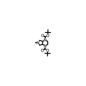 CN1CC2C(C1)N(C(=O)OC(C)(C)C)CCN2C(=O)OC(C)(C)C